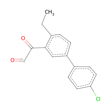 CCc1ccc(-c2ccc(Cl)cc2)cc1C(=O)[C]=O